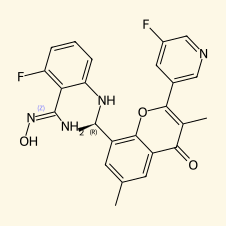 Cc1cc([C@@H](C)Nc2cccc(F)c2/C(N)=N/O)c2oc(-c3cncc(F)c3)c(C)c(=O)c2c1